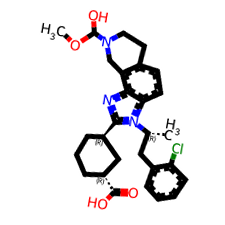 COC(O)N1CCc2ccc3c(nc([C@@H]4CCC[C@@H](C(=O)O)C4)n3[C@H](C)Cc3ccccc3Cl)c2C1